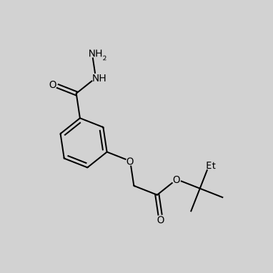 CCC(C)(C)OC(=O)COc1cccc(C(=O)NN)c1